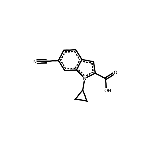 N#Cc1ccc2cc(C(=O)O)n(C3CC3)c2c1